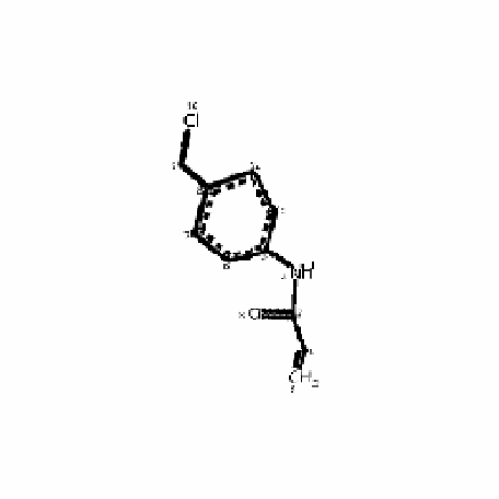 C=CC(=O)Nc1ccc(CCl)cc1